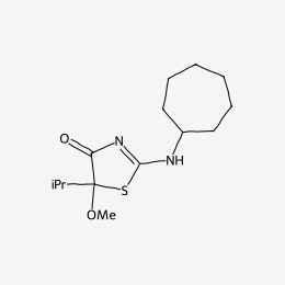 COC1(C(C)C)SC(NC2CCCCCC2)=NC1=O